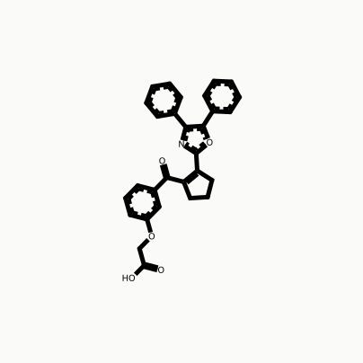 O=C(O)COc1cccc(C(=O)C2=C(c3nc(-c4ccccc4)c(-c4ccccc4)o3)CCC2)c1